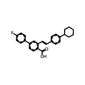 O=C(O)c1ccc(-c2ccc(F)cc2)cc1C=Cc1ccc(C2CCCCC2)cc1